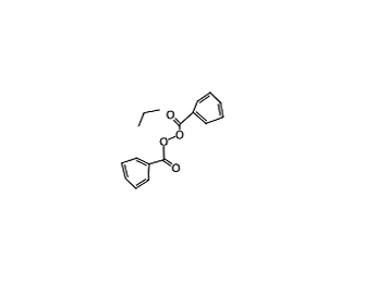 CCC.O=C(OOC(=O)c1ccccc1)c1ccccc1